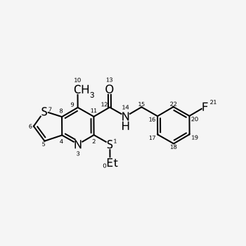 CCSc1nc2ccsc2c(C)c1C(=O)NCc1cccc(F)c1